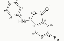 O=C1OC(Nc2ccccc2)c2ccc(F)cc21